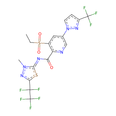 CCS(=O)(=O)c1cc(-n2ccc(C(F)(F)F)n2)cnc1C(=O)N=c1sc(C(F)(F)C(F)(F)F)nn1C